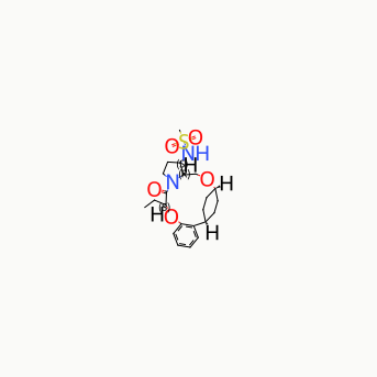 CC[C@@H]1Oc2ccccc2[C@H]2CC[C@H](CC2)OC[C@H]2[C@@H](NS(C)(=O)=O)CCN2C1=O